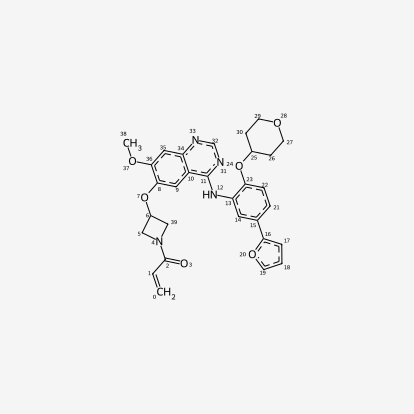 C=CC(=O)N1CC(Oc2cc3c(Nc4cc(-c5ccco5)ccc4OC4CCOCC4)ncnc3cc2OC)C1